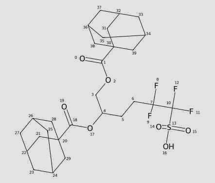 O=C(OCC(CCC(F)(F)C(F)(F)S(=O)(=O)O)OC(=O)C12CC3CC(CC(C3)C1)C2)C12CC3CC(CC(C3)C1)C2